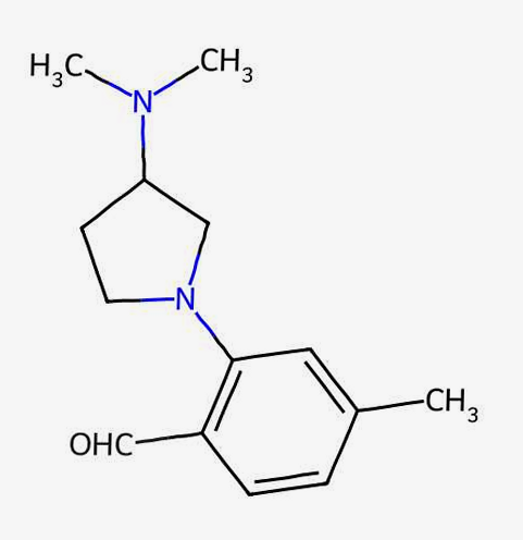 Cc1ccc(C=O)c(N2CCC(N(C)C)C2)c1